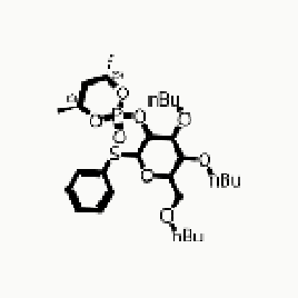 CCCCOCC1OC(Sc2ccccc2)C(OP2(=O)O[C@@H](C)C[C@H](C)O2)C(OCCCC)C1OCCCC